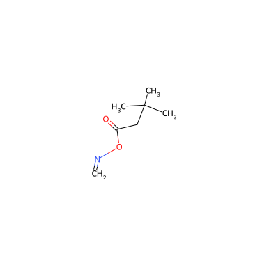 C=NOC(=O)CC(C)(C)C